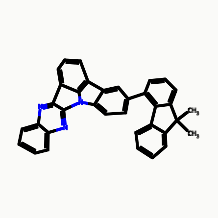 CC1(C)c2ccccc2-c2c(-c3ccc4c(c3)c3cccc5c6nc7ccccc7nc6n4c35)cccc21